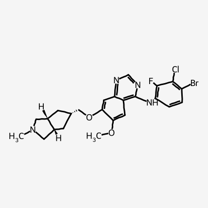 COc1cc2c(Nc3ccc(Br)c(Cl)c3F)ncnc2cc1OC[C@@H]1C[C@@H]2CN(C)C[C@@H]2C1